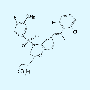 COc1cc(S(=O)(=O)N2CC(CCC(=O)O)Oc3ccc(C=C(C)c4c(F)cccc4Cl)cc32)ccc1F